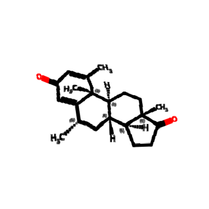 CC1=CC(=O)C=C2[C@@H](C)C[C@@H]3[C@H](CC[C@]4(C)C(=O)CC[C@@H]34)[C@@]12C